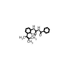 CC(C)=C(C)c1cccc(NC(=O)NC(=O)c2ccccc2)c1C#N